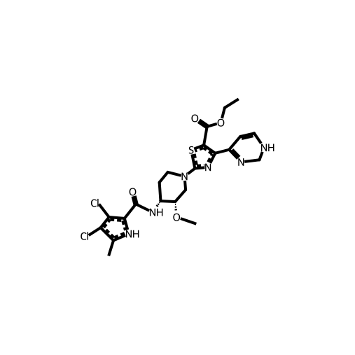 CCOC(=O)c1sc(N2CC[C@@H](NC(=O)c3[nH]c(C)c(Cl)c3Cl)[C@@H](OC)C2)nc1C1=NCNC=C1